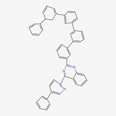 C1=CC(c2ccccc2)CC(c2cccc(-c3cccc(-c4cccc(-c5nc(-c6ccc(-c7ccccc7)cn6)c6ccccc6n5)c4)c3)c2)=C1